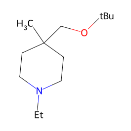 CCN1CCC(C)(COC(C)(C)C)CC1